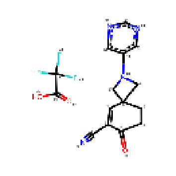 N#CC1=CC2(CCC1=O)CN(c1cncnc1)C2.O=C(O)C(F)(F)F